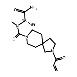 C=CC(=O)N1CCC2(CCN(C(=O)N(C)[C@H](C(N)=O)C(C)C)CC2)C1